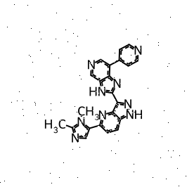 Cc1ncc(-c2ccc3[nH]nc(-c4nc5c(-c6ccncc6)cncc5[nH]4)c3n2)n1C